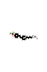 CCCCC[Si]1(F)CCC(CCc2ccc(OC(F)F)cc2)CC1